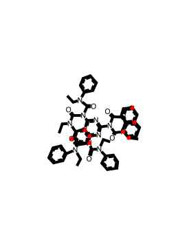 CCN(C(=O)N(C(=O)N(CC)c1ccccc1)c1nc(N(C(=O)N(CC)c2ccccc2)C(=O)N(CC)c2ccccc2)nc(N(C(=O)N(CC)c2ccccc2)C(=O)N(CC)c2ccccc2)n1)c1ccccc1